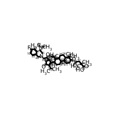 CC(C)C1=C2[C@H]3CC[C@@H]4[C@@]5(C)CC[C@H](OC(=O)CC(C)(C)C(=O)O)C(C)(C)C5CC[C@@]4(C)[C@]3(C)CC[C@@]2([C@H](O)CN(CCN(C)C)Cc2ccc(F)cc2)CC1=O